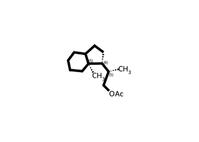 CC(=O)OC[C@@H](C)[C@H]1CCC2CCCC[C@@]21C